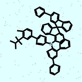 Cc1ccc(-c2ccc(N(c3ccc(-c4ccccc4)cc3-c3ccccc3)c3cccc4c3-c3ccccc3C43c4ccccc4-c4ccc(-c5ccccc5)cc43)cc2)cc1C(C)(C)C(C)C